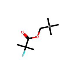 CC(C)(F)C(=O)OC[Si](C)(C)C